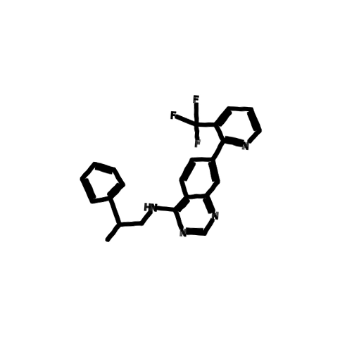 CC(CNc1ncnc2cc(-c3ncccc3C(F)(F)F)ccc12)c1ccccc1